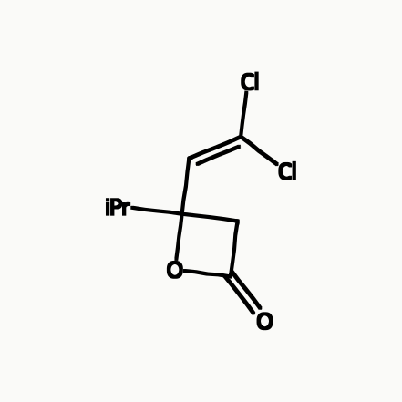 CC(C)C1(C=C(Cl)Cl)CC(=O)O1